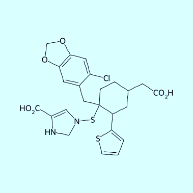 O=C(O)CC1CCC(Cc2cc3c(cc2Cl)OCO3)(SN2C=C(C(=O)O)NC2)C(c2cccs2)C1